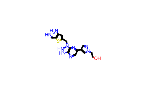 N=Cc1sc(CN2NNc3ncc(-c4cnn(CCO)c4)nc32)cc1N